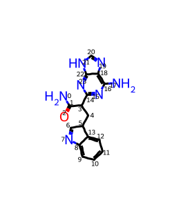 NC(=O)C(CC1C=Nc2ccccc21)c1nc(N)c2nc[nH]c2n1